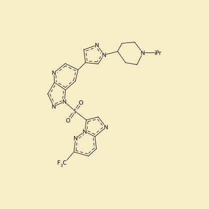 CC(C)N1CCC(n2cc(-c3cnc4cnn(S(=O)(=O)c5cnc6ccc(C(F)(F)F)nn56)c4c3)cn2)CC1